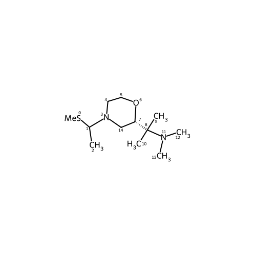 CSC(C)N1CCO[C@H](C(C)(C)N(C)C)C1